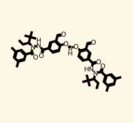 CCC(N(NC(=O)c1ccc(OBOc2ccc(C(=O)NN(C(=O)c3cc(C)cc(C)c3)C(CC)C(C)(C)C)cc2C=O)c(C=O)c1)C(=O)c1cc(C)cc(C)c1)C(C)(C)C